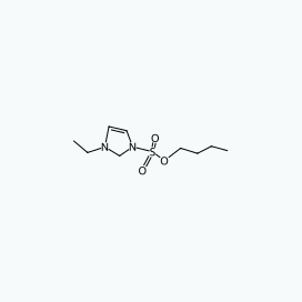 CCCCOS(=O)(=O)N1C=CN(CC)C1